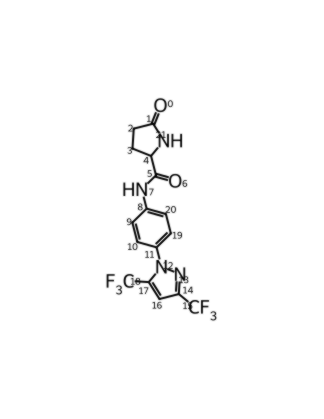 O=C1CCC(C(=O)Nc2ccc(-n3nc(C(F)(F)F)cc3C(F)(F)F)cc2)N1